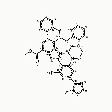 COC(=O)c1cnc(N(Cc2ccccc2)Cc2ccccc2)c2[nH]c(-c3c(F)cc(-c4nccn4C)cc3N3CCOCC3)cc12